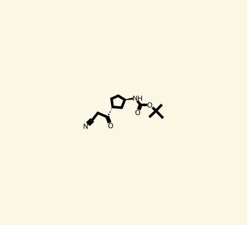 CC(C)(C)OC(=O)N[C@@H]1CC[C@@H](C(=O)CC#N)C1